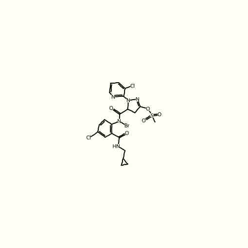 CS(=O)(=O)OC1=NN(c2ncccc2Cl)C(C(=O)N(Br)c2ccc(Cl)cc2C(=O)NCC2CC2)C1